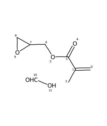 C=C(C)C(=O)OCC1CO1.O=CO